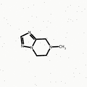 CN1CCn2ncnc2C1